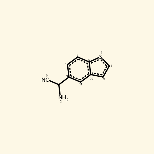 N#CC(N)c1ccc2sccc2c1